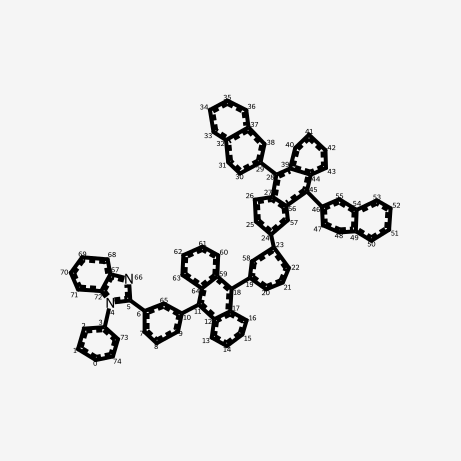 c1ccc(-n2c(-c3cccc(-c4c5ccccc5c(-c5cccc(-c6ccc7c(-c8ccc9ccccc9c8)c8ccccc8c(-c8ccc9ccccc9c8)c7c6)c5)c5ccccc45)c3)nc3ccccc32)cc1